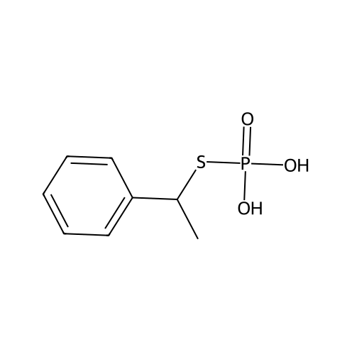 CC(SP(=O)(O)O)c1ccccc1